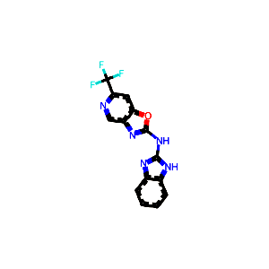 FC(F)(F)c1cc2oc(Nc3nc4ccccc4[nH]3)nc2cn1